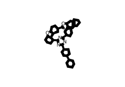 c1ccc(-c2ccc(-c3nc(-c4ccc(-c5ccccc5)cc4)nc(-c4cccc5oc6ccc(-c7nc8ccccc8o7)cc6c45)n3)cc2)cc1